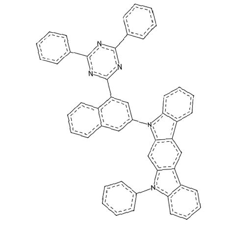 c1ccc(-c2nc(-c3ccccc3)nc(-c3cc(-n4c5ccccc5c5cc6c7ccccc7n(-c7ccccc7)c6cc54)cc4ccccc34)n2)cc1